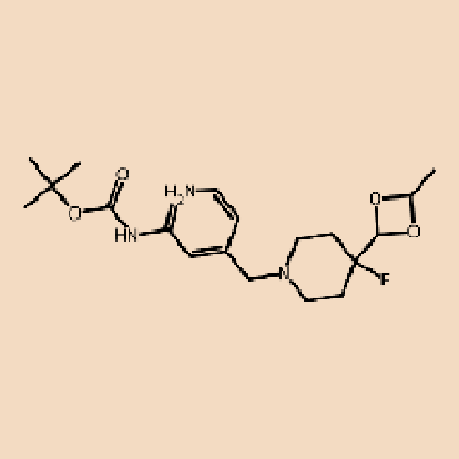 C=C(/C=C(\C=C/N)CN1CCC(F)(C2OC(C)O2)CC1)NC(=O)OC(C)(C)C